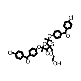 CC(C)(Oc1ccc(C(=O)c2ccc(Cl)cc2)cc1)C(=O)C([S])(COCCO)C(=O)C(C)(C)Oc1ccc(C(=O)c2ccc(Cl)cc2)cc1